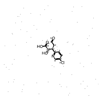 O=CC[C@@H](c1ccc(Cl)cn1)N(O)C(=O)O